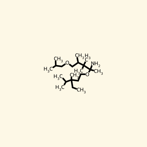 CCC(C)(CCOC(C)(N)C(C)(C)C(C)COCC(C)C)C(C)C